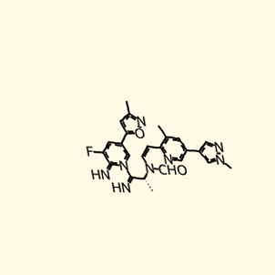 Cc1cc(-c2cc(F)c(=N)n(C(=N)[C@@H](C)N(C=O)/C=C\c3ncc(-c4cnn(C)c4)cc3C)c2)on1